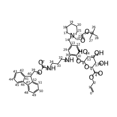 C=CCOC(=O)[C@H]1O[C@@H](Oc2ccc(C[N+]3(C)CCCC[C@@H]3C(=O)OC(C)(C)C)cc2NCCCNC(=O)OCC2c3ccccc3-c3ccccc32)[C@H](O)[C@@H](O)[C@@H]1O